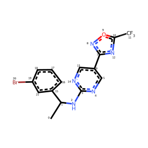 CC(Nc1ncc(-c2noc(C(F)(F)F)n2)cn1)c1cccc(Br)c1